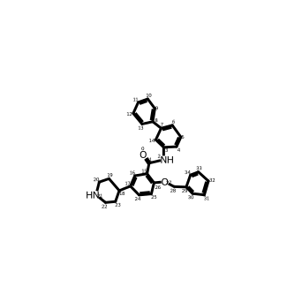 O=C(Nc1cccc(-c2ccccc2)c1)c1cc(C2CCNCC2)ccc1OCc1ccccc1